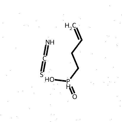 C=CCC[PH](=O)O.N=C=S